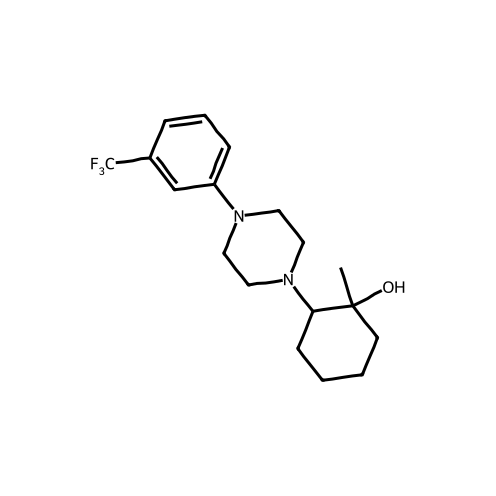 CC1(O)CCCCC1N1CCN(c2cccc(C(F)(F)F)c2)CC1